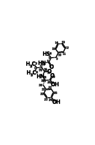 CC(C)[C@H](NC(=O)C(S)Cc1ccccc1)C(=O)N[C@@H](Cc1ccc(O)cc1)C(=O)O